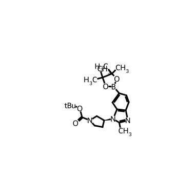 Cc1nc2ccc(B3OC(C)(C)C(C)(C)O3)cc2n1[C@H]1CCN(C(=O)OC(C)(C)C)C1